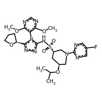 COc1ncnc(OC)c1-n1c(NS(=O)(=O)[C@@H]2C[C@H](OC(C)C)CN(c3ncc(F)cn3)C2)nnc1[C@@H]1CCCO1